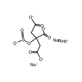 O=C([O-])CC(CC(=O)[O-])(O[Si](=O)[O-])C(=O)[O-].[K+].[Na+].[Na+].[Na+]